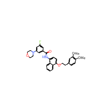 COc1ccc(CCOc2ccc(NC(=O)c3cc(F)cc(N4CCOCC4)c3)c3ccccc23)cc1OC